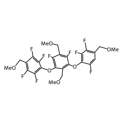 COCc1cc(F)c(Oc2c(F)c(COC)c(F)c(Oc3c(F)c(F)c(COC)c(F)c3F)c2COC)c(F)c1F